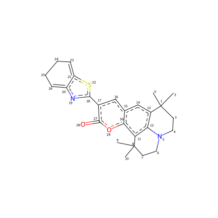 CC1(C)CCN2CCC(C)(C)c3c2c1cc1cc(-c2nc4c(s2)=CCCC=4)c(=O)oc31